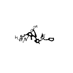 Cc1ccc(C(CC(=O)O)c2ccc(N(C)N)c(N)c2C)cc1Cn1ccnc1CC1CCCC1